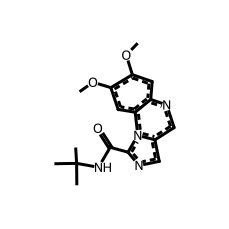 COc1cc2ncc3cnc(C(=O)NC(C)(C)C)n3c2cc1OC